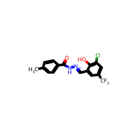 Cc1ccc(C(=O)N/N=C/c2cc(C(F)(F)F)cc(Cl)c2O)cc1